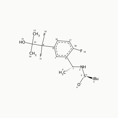 C[C@@H](N[S@+]([O-])C(C)(C)C)c1cc(C(F)(F)C(C)(C)O)ccc1F